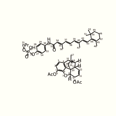 CC(=O)Oc1ccc2c3c1O[C@H]1[C@@H](OC(C)=O)C=C[C@H]4[C@@H](C2)N(C)CC[C@@]341.CCCOP(=O)(O)Oc1ccc(NC(=O)/C=C(C)/C=C/C=C(C)/C=C/C2=C(C)CCCC2(C)C)cc1